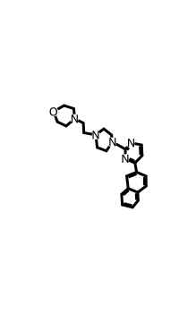 c1ccc2cc(-c3ccnc(N4CCN(CCN5CCOCC5)CC4)n3)ccc2c1